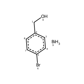 OCc1ccc(Br)cc1.[BiH3]